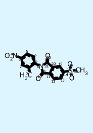 Cc1cc([N+](=O)[O-])ccc1N1C(=O)c2ccc(S(C)(=O)=O)cc2C1=O